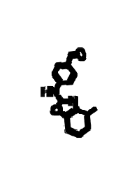 CC1=CCCc2oc(Nc3ccc(C=O)cc3)nc21